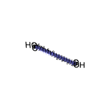 CC(/C=C/C=C(C)/C=C/C=C(C)/C=C/C=C(\C)C(=O)O)=C\C=C\C=C(C)\C=C\C=C(C)\C=C\C=C(C)\C=C\C=C(/C)C(=O)O